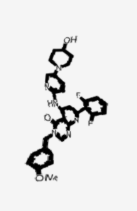 COc1ccc(Cn2cnc3nc(-c4c(F)cccc4F)cc(Nc4ccc(N5CCC(O)CC5)cn4)c3c2=O)cc1